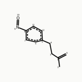 C=C(C)CCc1ccc(N=O)cc1